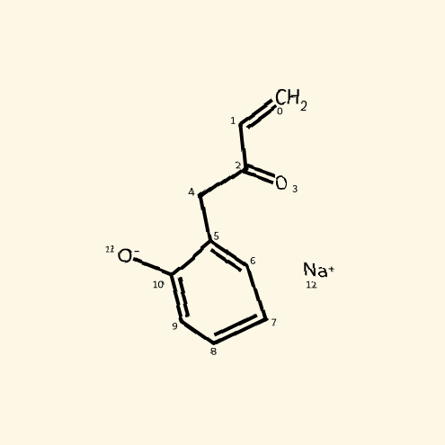 C=CC(=O)Cc1ccccc1[O-].[Na+]